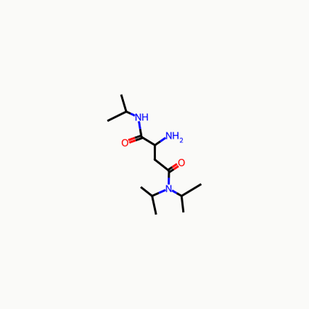 CC(C)NC(=O)C(N)CC(=O)N(C(C)C)C(C)C